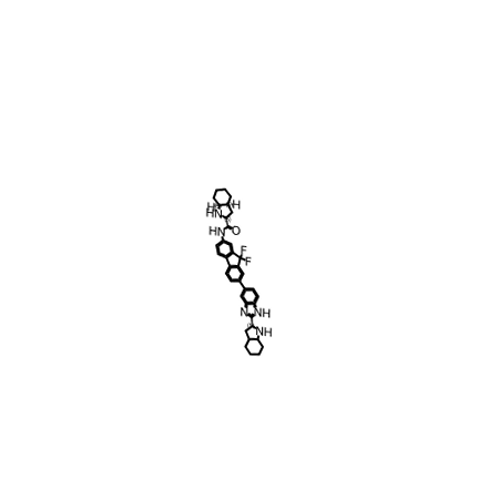 O=C(Nc1ccc2c(c1)C(F)(F)c1cc(-c3ccc4[nH]c([C@@H]5CC6CCCCC6N5)nc4c3)ccc1-2)[C@@H]1C[C@@H]2CCCC[C@@H]2N1